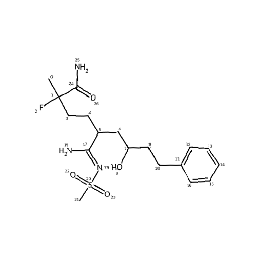 CC(F)(CCC(CC(O)[CH]Cc1ccccc1)C(N)=NS(C)(=O)=O)C(N)=O